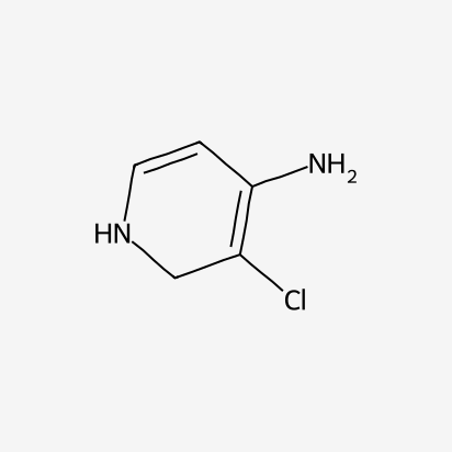 NC1=C(Cl)CNC=C1